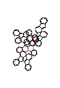 C1=CC2(C3=Cc4ccccc4C3=C1)C1=Cc3ccccc3C1=CC=C2c1ccc2c(c1-c1ccccc1-c1ccccc1)-c1c(c(N(C3=CC=C4C(=Cc5ccccc54)C34C=CC=C3C4=Cc4ccccc43)c3ccccc3-c3ccccc3)c(-c3ccccc3)c(-c3ccccc3)c1-c1c(-c3ccccc3)ccc3c1[nH]c1ccccc13)C2